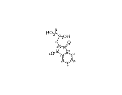 O=C(O)C(O)CN1C(=O)c2ccccc2C1=O